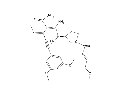 C/C=C(C#Cc1cc(OC)cc(OC)c1)\C(C(N)=O)=C(\N)N(N)[C@H]1CCN(C(=O)/C=C/COC)C1